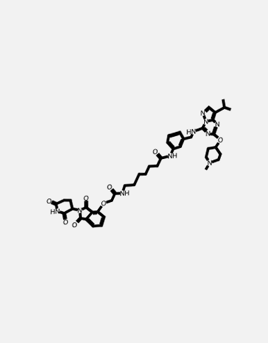 CC(C)c1cnn2c(NCc3cccc(NC(=O)CCCCCCNC(=O)COc4cccc5c4C(=O)N(C4CCC(=O)NC4=O)C5=O)c3)nc(OC3CCN(C)CC3)nc12